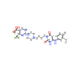 CCc1cc(Nc2cc(=O)n(CCCCN3CCN(c4ncc(C(=O)O)c(C(F)(F)F)n4)CC3)c(=O)[nH]2)ccc1C